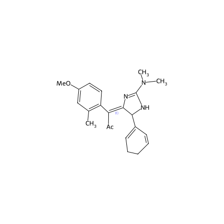 COc1ccc(/C(C(C)=O)=C2\N=C(N(C)C)NC2C2=CCCC=C2)c(C)c1